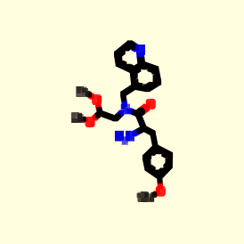 CCOC(CN(Cc1cccc2ncccc12)C(=O)C(N)Cc1ccc(OC(C)(C)C)cc1)OCC